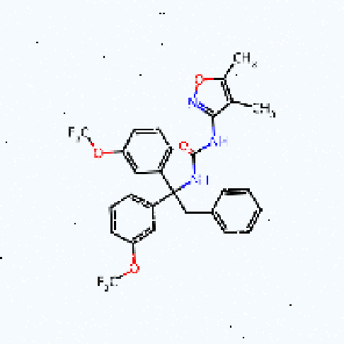 Cc1onc(NC(=O)NC(Cc2ccccc2)(c2cccc(OC(F)(F)F)c2)c2cccc(OC(F)(F)F)c2)c1C